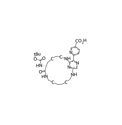 CC(C)(C)OC(=O)N[C@@H]1CCCCNc2nc(cnc2-c2ccc(C(=O)O)cn2)NCCCCCCNC1=O